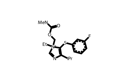 CC[N+]1(COC(=O)NC)C=NC(C(C)C)=C1Sc1cccc(F)c1